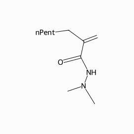 C=C(CCCCCC)C(=O)NN(C)C